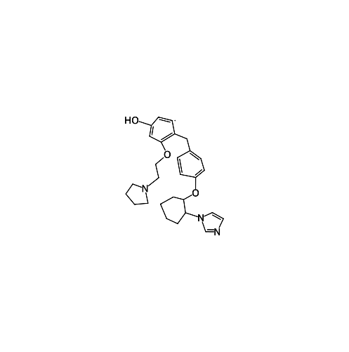 Oc1c[c]c(Cc2ccc(OC3CCCCC3n3ccnc3)cc2)c(OCCN2CCCC2)c1